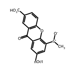 CCCCCCCCc1cc([S+](C)[O-])c2oc3ccc(C(=O)O)cc3c(=O)c2c1